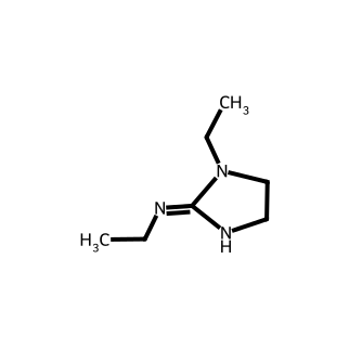 CC/N=C1\NCCN1CC